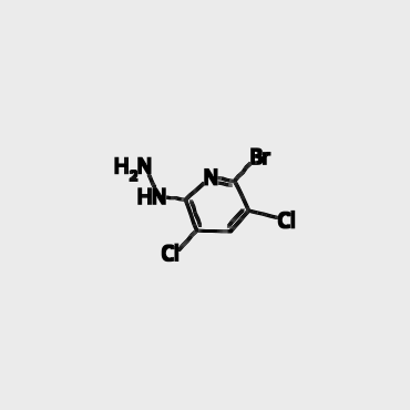 NNc1nc(Br)c(Cl)cc1Cl